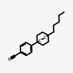 CCCCCC12CCC(c3ccc(C#N)cc3)(CC1)CC2